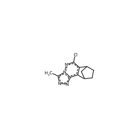 Cc1nnc2c3c(c(Cl)nn12)C1CCC3C1